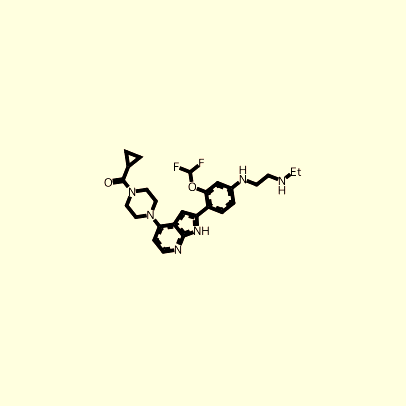 CCNCCNc1ccc(-c2cc3c(N4CCN(C(=O)C5CC5)CC4)ccnc3[nH]2)c(OC(F)F)c1